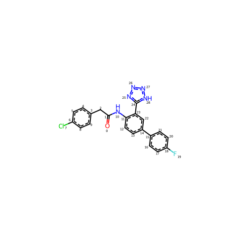 O=C(Cc1ccc(Cl)cc1)Nc1ccc(-c2ccc(F)cc2)cc1-c1nnn[nH]1